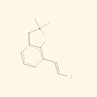 [CH2]CCC=Cc1cccc2c1OC(C)(C)C2